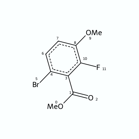 COC(=O)c1c(Br)ccc(OC)c1F